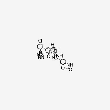 O=C1COc2cc(-c3cnc([C@@H]4[C@H]5C[C@H]5c5cc(-c6cc(Cl)ccc6-n6cnnn6)cc(=O)n54)[nH]3)ccc2N1